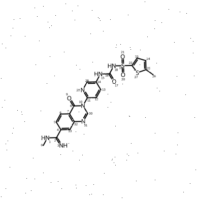 CNC(=N)c1ccc2c(=O)n(-c3ccc(NC(=O)NS(=O)(=O)c4ccc(C)s4)cn3)cnc2c1